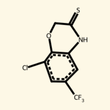 FC(F)(F)c1cc(Cl)c2c(c1)NC(=S)CO2